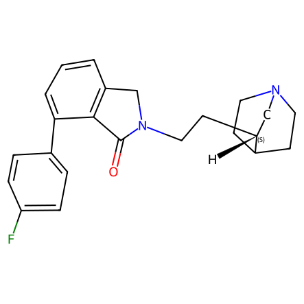 O=C1c2c(cccc2-c2ccc(F)cc2)CN1CC[C@@H]1CN2CCC1CC2